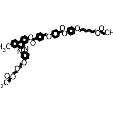 C=CC(=O)OCCCCCCOc1ccc(OC(=O)C2CCC(OCc3ccc(C(=O)Oc4ccc5c6ccc(C)cc6c6nc7cc(OCCOCCOC(=O)C=C)ccc7nc6c5c4)cc3)CC2)cc1